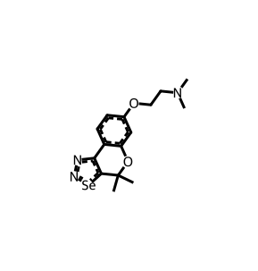 CN(C)CCOc1ccc2c(c1)OC(C)(C)c1[se]nnc1-2